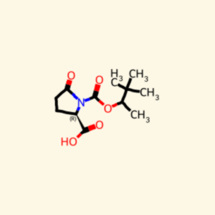 CC(OC(=O)N1C(=O)CC[C@@H]1C(=O)O)C(C)(C)C